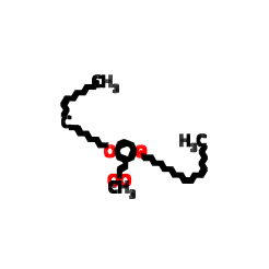 CCCCC/C=C\C/C=C\CCCCCC/C=C/O/C1=C/C(/C=C/C(=O)OC)=C\C(OCCCCC/C=C/C=C=CC/C=C\CCCCCC)C#CC1